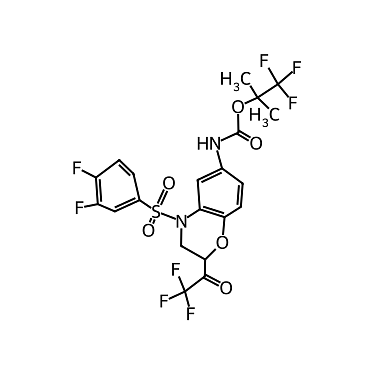 CC(C)(OC(=O)Nc1ccc2c(c1)N(S(=O)(=O)c1ccc(F)c(F)c1)CC(C(=O)C(F)(F)F)O2)C(F)(F)F